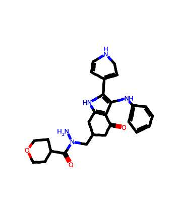 NN(CC1CC(=O)c2c([nH]c(C3=CCNC=C3)c2Nc2ccccc2)C1)C(=O)C1CCOCC1